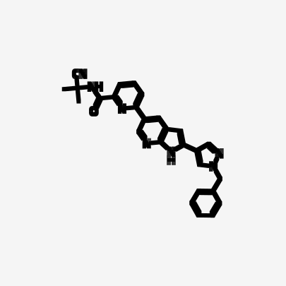 CC(C)(C#N)NC(=O)c1cccc(-c2cnc3[nH]c(-c4cnn(Cc5ccccc5)c4)cc3c2)n1